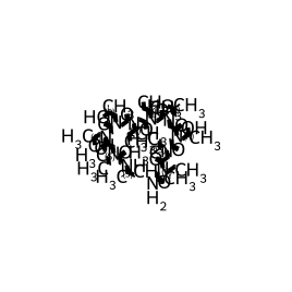 CC[C@H](C)NCC(=O)N(CC(=O)N(CC(=O)N(CC(=O)N(CC(=O)N(CC(=O)N(CC(=O)N(CC(=O)N(CC(=O)N(CC(N)=O)[C@@H](C)CC)[C@@H](C)CC)C[C@@H](C)O)C[C@H](C)O)[C@@H](C)CC)[C@@H](C)CC)C[C@@H](C)O)C[C@H](C)O)[C@@H](C)CC